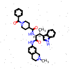 C[C@H](c1c[nH]c2ccccc12)[C@@H](NC(=O)C1CCN(C(=O)c2ccccc2)CC1)C(=O)Nc1ccc2c(c1)CN(C)CC2